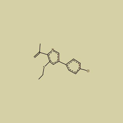 C=C(C)c1ncc(-c2ccc(Cl)cc2)cc1SCC